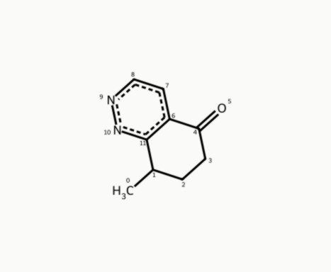 CC1CCC(=O)c2ccnnc21